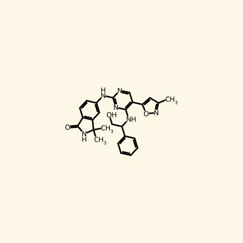 Cc1cc(-c2cnc(Nc3ccc4c(c3)C(C)(C)NC4=O)nc2NC(CO)c2ccccc2)on1